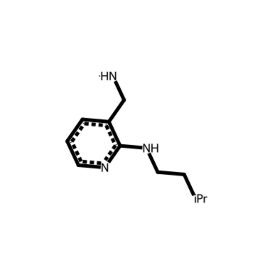 CC(C)CCNc1ncccc1C[NH]